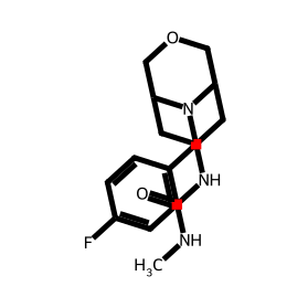 CNC(=O)NC1CC2COCC(C1)N2Cc1ccc(F)cc1